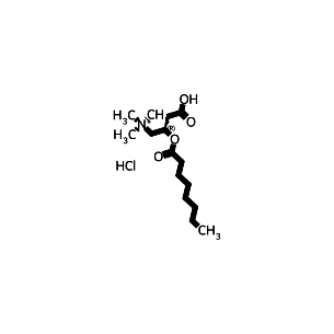 CCCCCCCC(=O)O[C@H](CC(=O)O)C[N+](C)(C)C.Cl